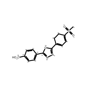 CS(=O)(=O)C1=CC=C(c2nnc(-c3ccc(C(=O)O)cc3)o2)CC1